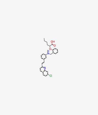 CCCCC(Oc1ccccc1CNc1cccc(C=Cc2ccc3ccc(Cl)cc3n2)c1)C(=O)O